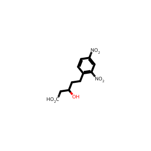 O=C(O)CC(O)CCc1ccc([N+](=O)[O-])cc1[N+](=O)[O-]